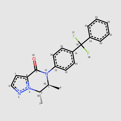 C[C@H]1[C@H](C)n2nccc2C(=O)N1c1ccc(C(F)(F)c2ccccc2)cc1